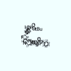 CC(C)(C)OC(=O)NC12CCC(CCc3c(F)cnc4ccc(OCC5(NC(=O)OCc6ccccc6)CC5)nc34)(CC1)OC2